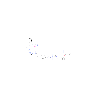 COC(=O)N[C@@H](C(C)C)C1CC[C@@H](c2ncc(-c3ccc4cc(-c5ccc(-c6cnc([C@@H]7CCCN7C(=O)[C@@H](Cc7ccccc7)NC(=O)OC)[nH]6)cc5)ccc4c3)[nH]2)N1C=O